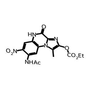 CCOC(=O)Oc1nc2c(=O)[nH]c3cc([N+](=O)[O-])c(NC(C)=O)cc3n2c1C